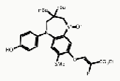 CCCCC1(CCCC)CN(c2ccc(O)cc2)c2cc(SC)c(O/C=C(\F)C(=O)OCC)cc2[S+]([O-])C1